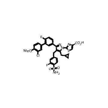 COc1ccc(-c2cc(-c3nn(-c4nc(C(=O)O)cs4)c(CC4CC4)c3Cc3ccc(S(N)(=O)=O)c(F)c3)ccc2F)cc1Cl